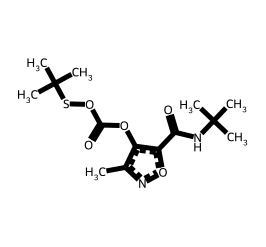 Cc1noc(C(=O)NC(C)(C)C)c1OC(=O)OSC(C)(C)C